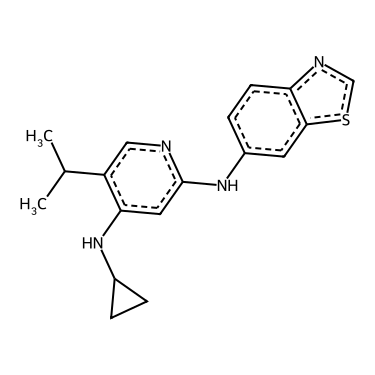 CC(C)c1cnc(Nc2ccc3ncsc3c2)cc1NC1CC1